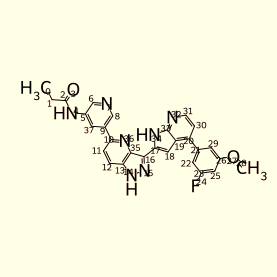 CCC(=O)Nc1cncc(-c2ccc3[nH]nc(-c4cc5c(-c6cc(F)cc(OC)c6)ccnc5[nH]4)c3n2)c1